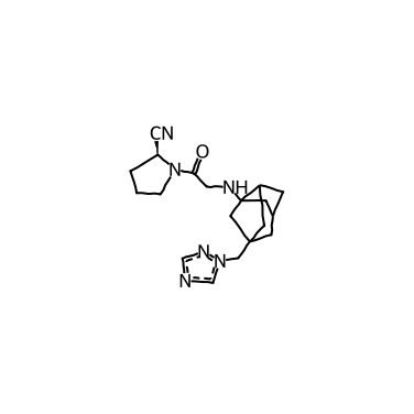 N#C[C@@H]1CCCN1C(=O)CNC12CC3CC1CC(Cn1cncn1)(C3)C2